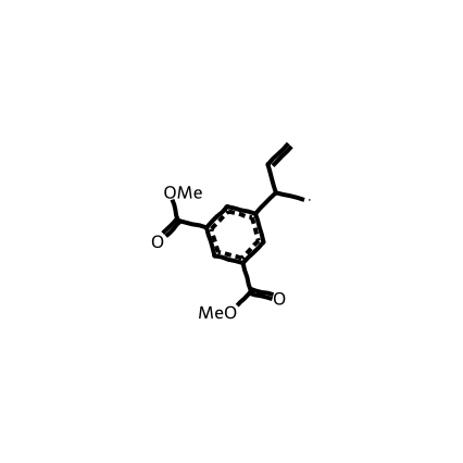 [CH2]C(C=C)c1cc(C(=O)OC)cc(C(=O)OC)c1